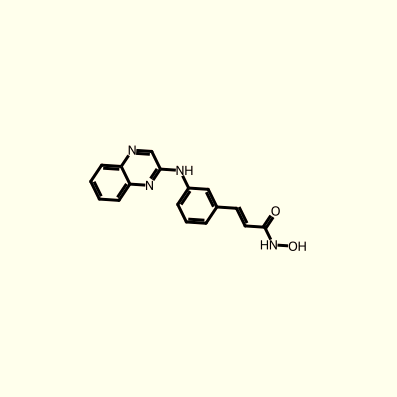 O=C(/C=C/c1cccc(Nc2cnc3ccccc3n2)c1)NO